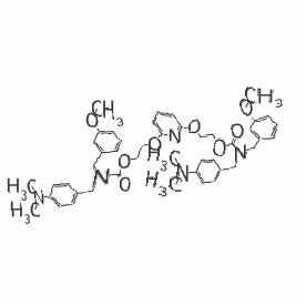 COc1cccc(CN(Cc2ccc(N(C)C)cc2)C(=O)OCCOc2cccc(OCCOC(=O)N(Cc3ccc(N(C)C)cc3)Cc3cccc(OC)c3)n2)c1